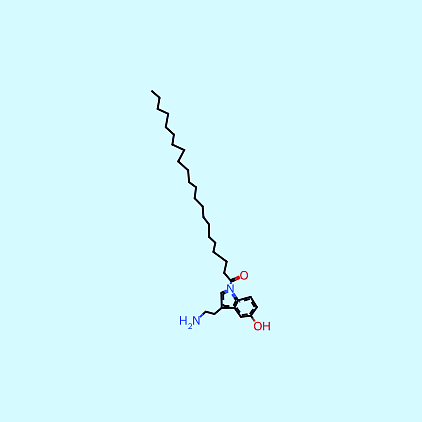 CCCCCCCCCCCCCCCCCCCCCC(=O)n1cc(CCN)c2cc(O)ccc21